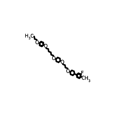 CCCCOc1ccc(OCCCCCCOC2CCC(OCCCCOC3CCC(c4ccc(C)c(F)c4)CC3)CC2)cc1